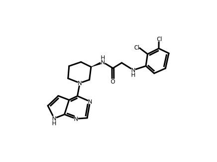 O=C(CNc1cccc(Cl)c1Cl)N[C@@H]1CCCN(c2ncnc3[nH]ccc23)C1